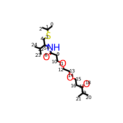 CC(C)SCC(NC(=O)CCOCCOCCC(=O)C(C)C)C(C)C